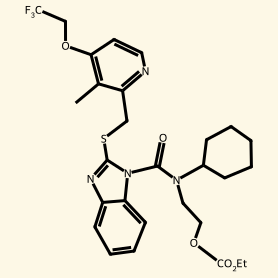 CCOC(=O)OCCN(C(=O)n1c(SCc2nccc(OCC(F)(F)F)c2C)nc2ccccc21)C1CCCCC1